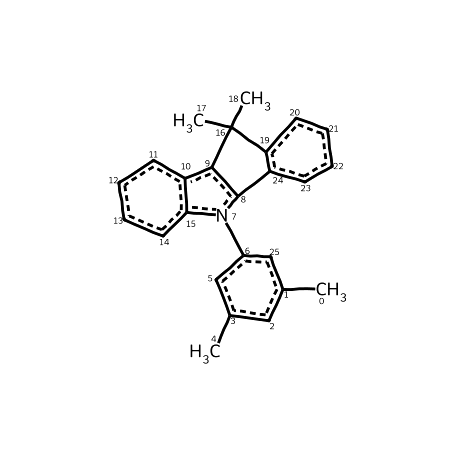 Cc1cc(C)cc(-n2c3c(c4ccccc42)C(C)(C)c2ccccc2-3)c1